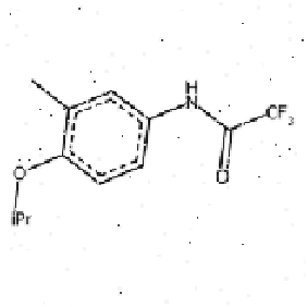 Cc1cc(NC(=O)C(F)(F)F)ccc1OC(C)C